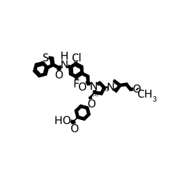 COCCC1CN([C@H]2C[C@@H](CO[C@H]3CC[C@H](C(=O)O)CC3)N(C(=O)Cc3cc(Cl)c(NC(=O)c4csc5ccccc45)cc3F)C2)C1